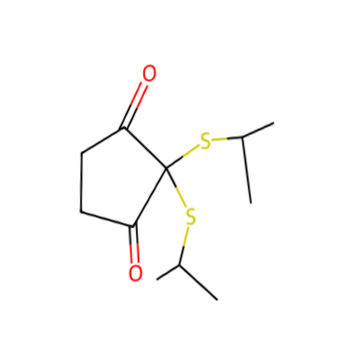 CC(C)SC1(SC(C)C)C(=O)CCC1=O